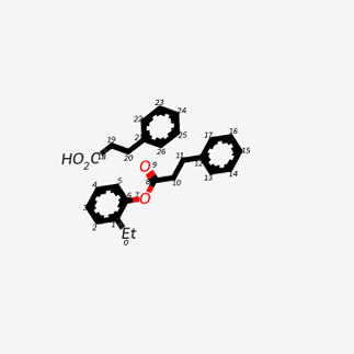 CCc1ccccc1OC(=O)CCc1ccccc1.O=C(O)CCc1ccccc1